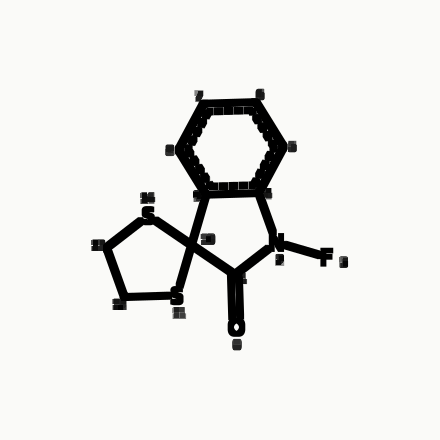 O=C1N(F)c2ccccc2C12SCCS2